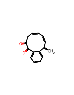 C=C1/C=C\C=C/CC(=O)C(=O)c2ccccc21